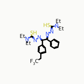 CCN(CC)/C(S)=N/N=C(/C(=N/N=C(\S)N(CC)CC)c1ccc(CC(F)(F)F)cc1)c1ccccc1